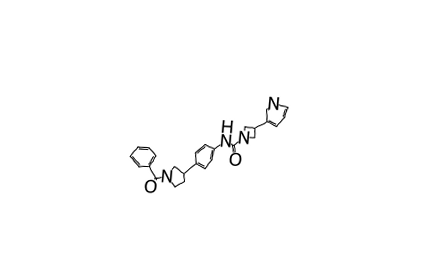 O=C(Nc1ccc(C2CCN(C(=O)c3ccccc3)C2)cc1)N1CC(c2cccnc2)C1